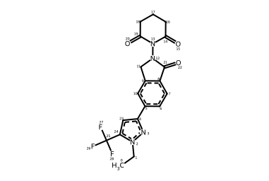 CCn1nc(-c2ccc3c(c2)CN(N2C(=O)CCCC2=O)C3=O)cc1C(F)(F)F